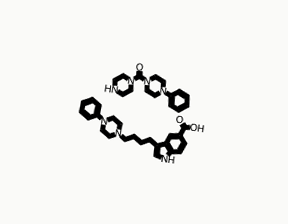 O=C(N1CCNCC1)N1CCN(c2ccccc2)CC1.O=C(O)c1ccc2[nH]cc(CCCCN3CCN(c4ccccc4)CC3)c2c1